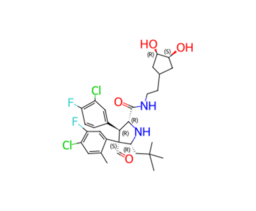 Cc1cc(Cl)c(F)cc1[C@]1(C=O)[C@@H](CC(C)(C)C)N[C@@H](C(=O)NCCC2C[C@@H](O)[C@@H](O)C2)[C@@H]1c1ccc(F)c(Cl)c1